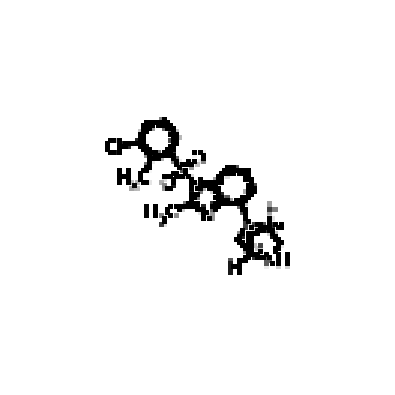 Cc1c(Cl)cccc1S(=O)(=O)n1c(C)nc2c(N3C[C@@H]4C[C@H]3CN4)cccc21